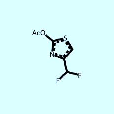 CC(=O)Oc1nc(C(F)F)cs1